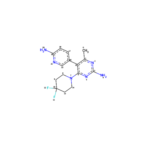 Cc1nc(N)nc(N2CCC(F)(F)CC2)c1-c1ccc(N)nc1